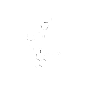 COCCN1C(=O)C(C(N)=O)=CC(CCCc2nnn(C[C@H](O)c3ccc(Cl)cc3)n2)C1=O